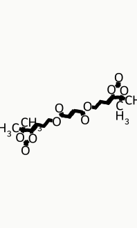 CC1(C)OC(=O)OC1=CCCOC(=O)C=CC(=O)OCCC=C1OC(=O)OC1(C)C